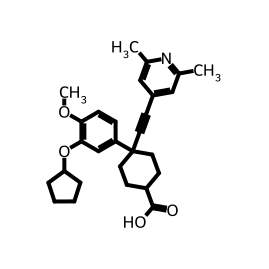 COc1ccc(C2(C#Cc3cc(C)nc(C)c3)CCC(C(=O)O)CC2)cc1OC1CCCC1